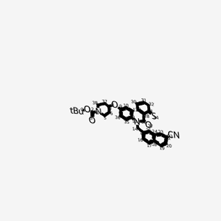 CC(C)(C)OC(=O)N1CCC(Oc2ccc(N(Cc3ccc4ccc(C#N)cc4c3)C(=O)C3=CC=CCC3=S)cc2)CC1